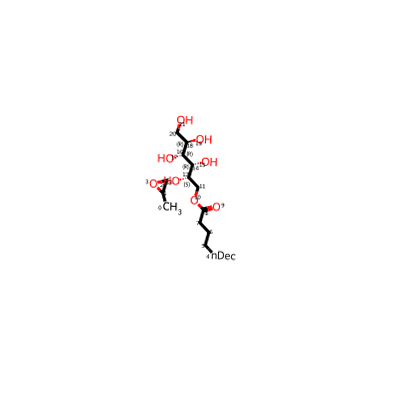 CC1CO1.CCCCCCCCCCCCCC(=O)OC[C@H](O)[C@@H](O)[C@H](O)[C@H](O)CO